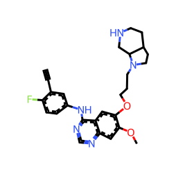 C#Cc1cc(Nc2ncnc3cc(OC)c(OCCCN4CCC5CCNCC54)cc23)ccc1F